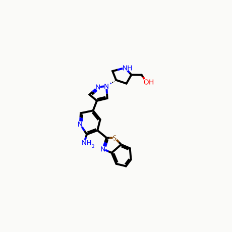 Nc1ncc(-c2cnn([C@@H]3CNC(CO)C3)c2)cc1-c1nc2ccccc2s1